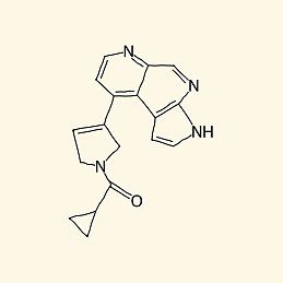 O=C(C1CC1)N1CC=C(c2ccnc3cnc4[nH]ccc4c23)C1